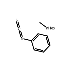 CCCCCCC.S=C=Nc1ccccc1